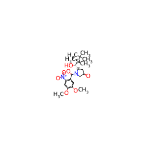 COc1cc(C(=O)N2CC(=O)C[C@H]2C(O)[Si](C)(C)C(C)(C)C)c([N+](=O)[O-])cc1OC